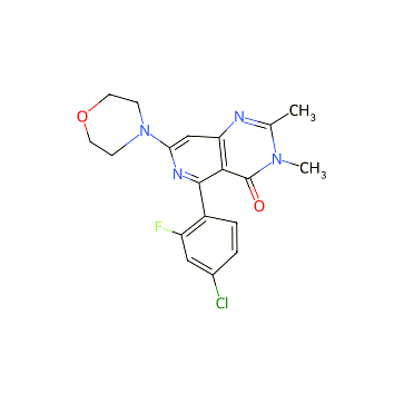 Cc1nc2cc(N3CCOCC3)nc(-c3ccc(Cl)cc3F)c2c(=O)n1C